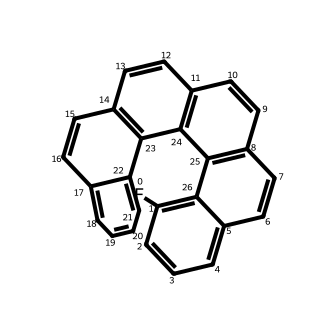 Fc1cccc2ccc3ccc4ccc5ccc6ccccc6c5c4c3c12